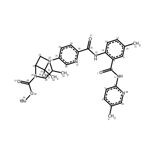 Cc1ccc(NC(=O)c2cc(C)ccc2NC(=O)c2ccc([N+]34CC(N(C(=O)OC(C)(C)C)CC3C)C4(C)C)cn2)nc1